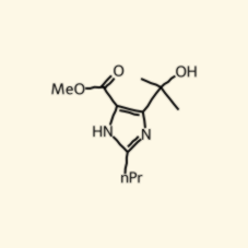 CCCc1nc(C(C)(C)O)c(C(=O)OC)[nH]1